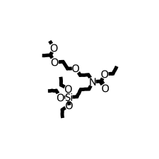 CCOC(=O)N(CCC[Si](OCC)(OCC)OCC)CCOCCOC(C)OC